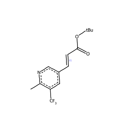 Cc1ncc(/C=C/C(=O)OC(C)(C)C)cc1C(F)(F)F